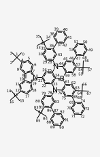 CC(C)(C)c1ccc2c(c1)c1cc(C(C)(C)C)ccc1n2-c1cc2c3c(c1)N(c1ccc(C(C)(C)C)c(-c4ccccc4)c1)c1cc(-c4ccccc4)c(C(C)(C)C)cc1B3c1cc(C(C)(C)C)c(-c3ccccc3)cc1N2c1ccc(C(C)(C)C)c(-c2ccccc2)c1